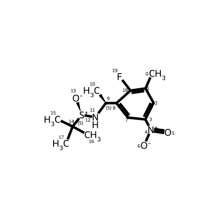 Cc1cc([N+](=O)[O-])cc([C@H](C)N[S@+]([O-])C(C)(C)C)c1F